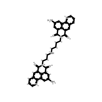 Nc1cc2c3c(cc4cccnc4c3c1)C(=O)N(CCCCNCCCN1C(=O)c3cc(N)cc4c3c(cc3cccnc34)C1=O)C2=O